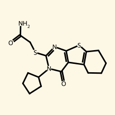 NC(=O)CSc1nc2sc3c(c2c(=O)n1C1CCCC1)CCCC3